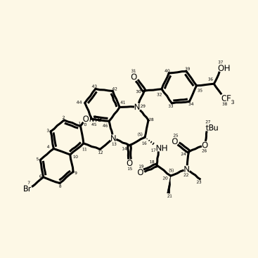 COc1ccc2cc(Br)ccc2c1CN1C(=O)[C@@H](NC(=O)[C@H](C)N(C)C(=O)OC(C)(C)C)CN(C(=O)c2ccc(C(O)C(F)(F)F)cc2)c2ccccc21